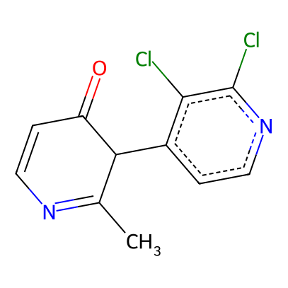 CC1=NC=CC(=O)C1c1ccnc(Cl)c1Cl